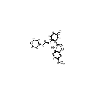 O=C(Nc1ccc([N+](=O)[O-])cc1Cl)c1cc(Cl)ccc1OCCN1CCOCC1